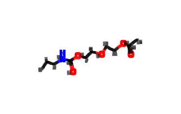 CCCNC(=O)OCCOCCOC(C)=O